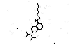 CCCCCON=C1CCCC2=C1CCC(N(C(C)C)C(C)C)C2